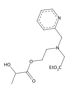 CCOC(=O)CN(CCOC(=O)C(C)O)Cc1ccccn1